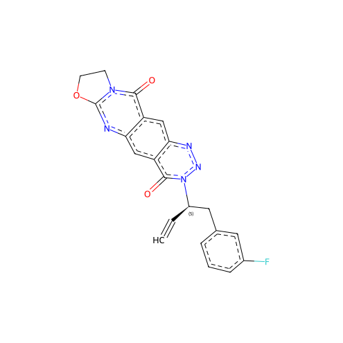 C#C[C@H](Cc1cccc(F)c1)n1nnc2cc3c(=O)n4c(nc3cc2c1=O)OCC4